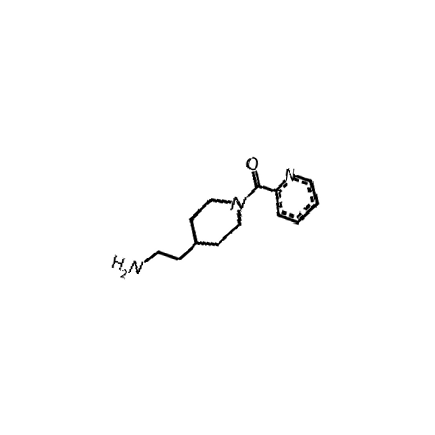 NCCC1CCN(C(=O)c2ccccn2)CC1